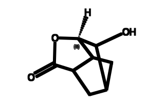 O=C1O[C@H]2C(O)C3CC1C2C3